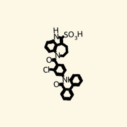 O=C(Nc1ccc(C(=O)N2CCCc3c(S(=O)(=O)O)[nH]c4cccc2c34)c(Cl)c1)c1ccccc1-c1ccccc1